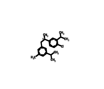 Cc1cc(C[C@@H](C)c2ccc(Cl)c(C(C)C)c2)cc(C(C)C)c1